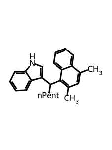 CCCCCC(c1c[nH]c2ccccc12)c1c(C)cc(C)c2ccccc12